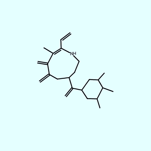 C=C/C1=C(\C)C(=C)C(=C)CC(C(=C)C2CC(C)C(C)C(C)C2)CCN1